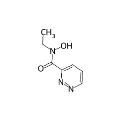 CCN(O)C(=O)c1cccnn1